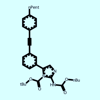 CCCCCc1ccc(C#Cc2cccc(-c3cnc(NC(=O)OCCCC)n3C(=O)OC(C)(C)C)c2)cc1